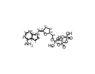 Nc1ncnc2c1ccn2/C=C1/CC[C@@H](COP(=O)(O)OP(=O)(O)OP(=O)(O)O)O1